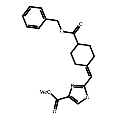 COC(=O)c1coc(C=C2CCC(C(=O)OCc3ccccc3)CC2)n1